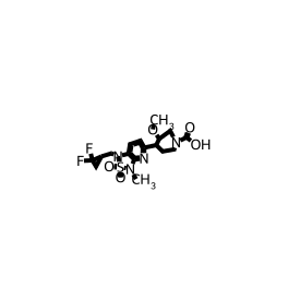 COC1CN(C(=O)O)CCC1c1ccc2c(n1)N(C)S(=O)(=O)N2CC1CC1(F)F